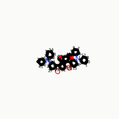 c1ccc(N(c2ccccc2)c2ccc3c(c2)C2(c4cc5c(cc4O3)oc3ccc(N(c4ccccc4)c4ccccc4)cc35)c3ccccc3-c3ccccc32)cc1